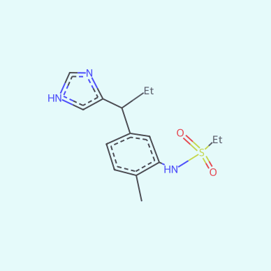 CCC(c1ccc(C)c(NS(=O)(=O)CC)c1)c1c[nH]cn1